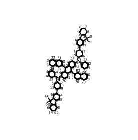 CC1(C)C2=C(C=CCC2)c2ccc(C3C=CC(N(c4ccccc4)c4ccc5c(-c6ccc7ccccc7c6)c6cc(N(c7ccccc7)c7ccc(-c8ccc9c(c8)C(C)(C)c8ccccc8-9)cc7)ccc6c(-c6ccc7ccccc7c6)c5c4)=CC3)cc21